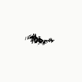 O=C(NC[C@H]1CN(c2cc(F)c(N3CCNN(S(=O)(=O)CCO)CC3)c(F)c2)C(=O)O1)C(F)F